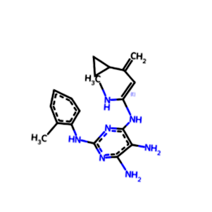 C=C(/C=C(\NC)Nc1nc(Nc2ccccc2C)nc(N)c1N)C1CC1